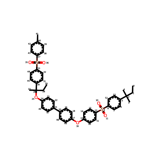 CCC(C)(C)c1ccc(S(=O)(=O)c2ccc(Oc3ccc(-c4ccc(OC(C)(CC)c5ccc(S(=O)(=O)c6ccc(C)cc6)cc5)cc4)cc3)cc2)cc1